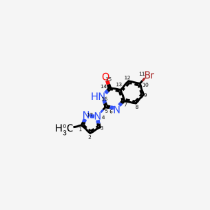 Cc1ccn(-c2nc3ccc(Br)cc3c(=O)[nH]2)n1